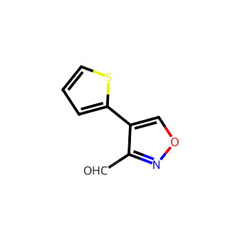 O=Cc1nocc1-c1cccs1